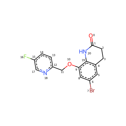 O=C1CCc2cc(Br)cc(OCc3ccc(F)cn3)c2N1